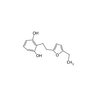 CCc1ccc(CCc2c(O)cccc2O)o1